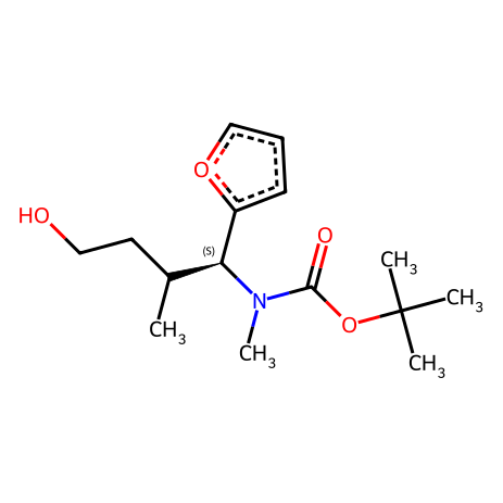 CC(CCO)[C@@H](c1ccco1)N(C)C(=O)OC(C)(C)C